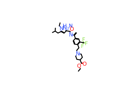 C=C(/N=C(\ON)c1cc(CC(C)C)n(CC)n1)c1ccc(CCN2CCC(C(=O)OCC)CC2)c(C(F)(F)F)c1